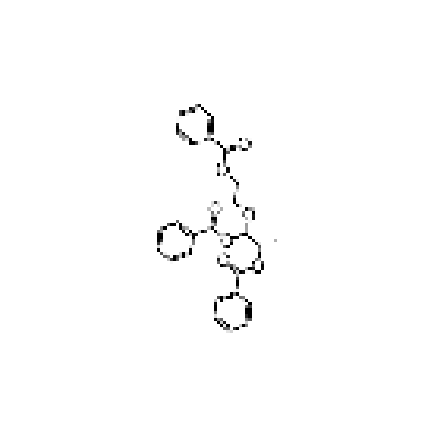 C[C@H](OC(=O)c1ccccc1)[C@@H](OCCOC(=O)c1ccccc1)OC(=O)c1ccccc1